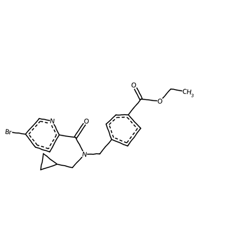 CCOC(=O)c1ccc(CN(CC2CC2)C(=O)c2ccc(Br)cn2)cc1